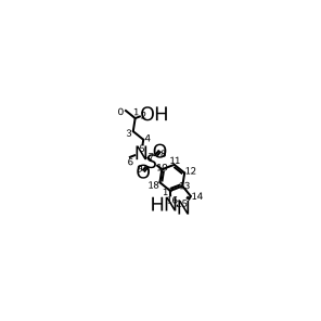 CC(O)CCN(C)S(=O)(=O)c1ccc2cn[nH]c2c1